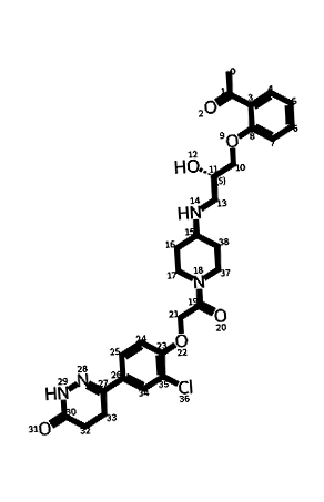 CC(=O)c1ccccc1OC[C@@H](O)CNC1CCN(C(=O)COc2ccc(C3=NNC(=O)CC3)cc2Cl)CC1